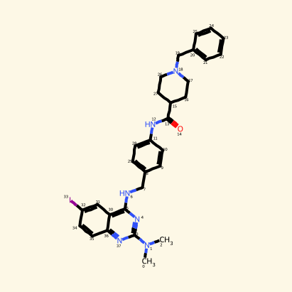 CN(C)c1nc(NCc2ccc(NC(=O)C3CCN(Cc4ccccc4)CC3)cc2)c2cc(I)ccc2n1